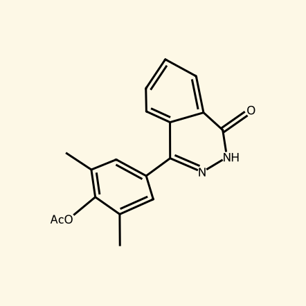 CC(=O)Oc1c(C)cc(-c2n[nH]c(=O)c3ccccc23)cc1C